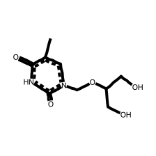 Cc1cn(COC(CO)CO)c(=O)[nH]c1=O